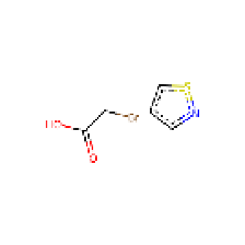 O=C(O)CBr.c1cnsc1